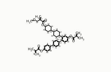 C=C(C)C(=O)Oc1ccc(-c2ccc(-c3ccc(OC(=O)C(=C)C)cc3C3CCC(C4CCC(OC(=O)C(=C)COC)CC4)CC3)cc2)cc1